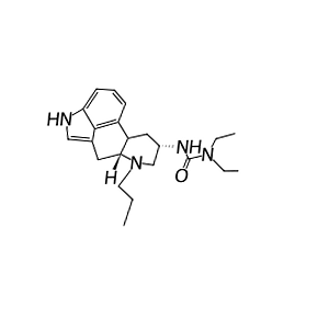 CCCN1C[C@@H](NC(=O)N(CC)CC)CC2c3cccc4[nH]cc(c34)C[C@H]21